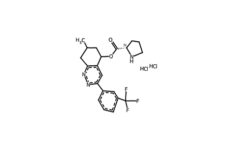 CC1Cc2nnc(-c3cccc(C(F)(F)F)c3)cc2C(OC(=O)[C@@H]2CCCN2)C1.Cl.Cl